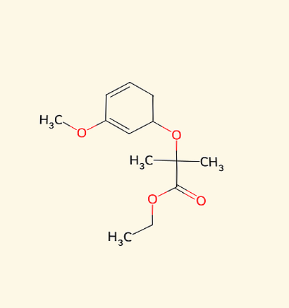 CCOC(=O)C(C)(C)OC1C=C(OC)C=CC1